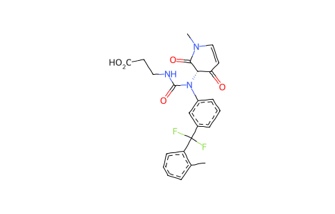 Cc1ccccc1C(F)(F)c1cccc(N(C(=O)NCCC(=O)O)[C@H]2C(=O)C=CN(C)C2=O)c1